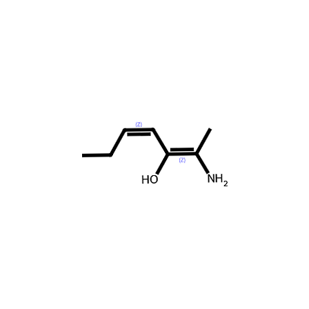 CC/C=C\C(O)=C(/C)N